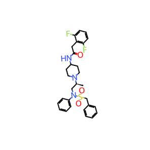 C[C@@H](CN(c1ccccc1)S(=O)(=O)Cc1ccccc1)N1CCC(NC(=O)Cc2c(F)cccc2F)CC1